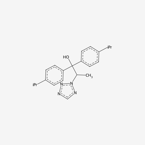 CC(C)c1ccc(C(O)(c2ccc(C(C)C)cc2)C(C)n2ncnn2)cc1